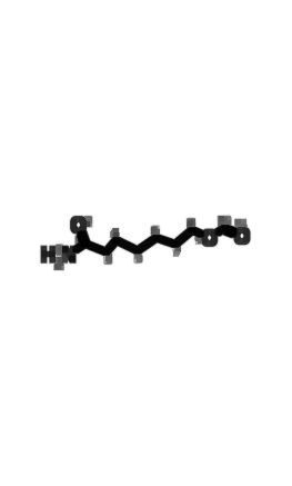 NC(=O)CCCCCCOC=O